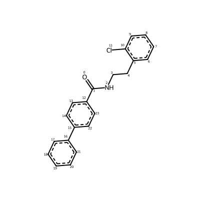 O=C(NCCc1ccccc1Cl)c1ccc(-c2ccccc2)cc1